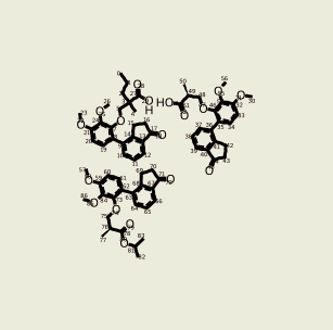 CCCC(C)(COc1c(-c2cccc3c2CCC3=O)ccc(OC)c1OC)C(=O)O.COc1ccc(-c2cccc3c2CCC3=O)c(OC[C@H](C)C(=O)O)c1OC.COc1ccc(-c2cccc3c2CCC3=O)c(OC[C@H](C)C(=O)OC(C)C)c1OC